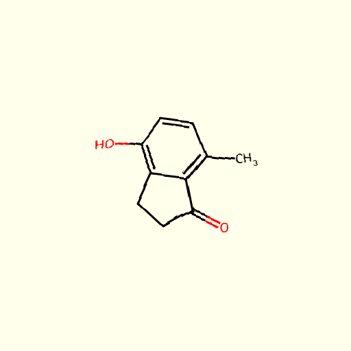 Cc1ccc(O)c2c1C(=O)CC2